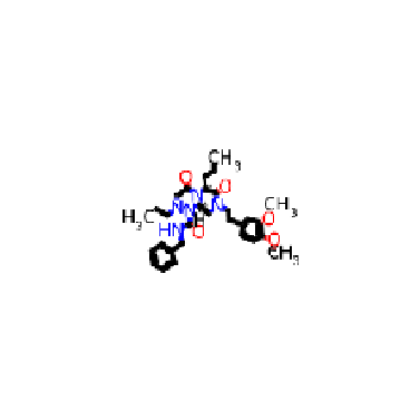 CCC[C@H]1C(=O)N(CCc2ccc(OC)c(OC)c2)C[C@H]2N1C(=O)CN(CCC)N2C(=O)NCc1ccccc1